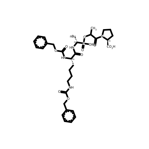 CCCC[C@@H](NC(=O)[C@H](CCCCNC(=O)OCc1ccccc1)NC(=O)OCc1ccccc1)P(=O)(OC)OC(C)C(=O)N1CCC[C@H]1C(=O)O